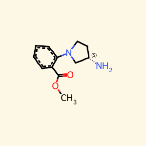 COC(=O)c1ccccc1N1CC[C@H](N)C1